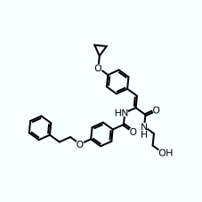 O=C(NCCO)C(=Cc1ccc(OC2CC2)cc1)NC(=O)c1ccc(OCCc2ccccc2)cc1